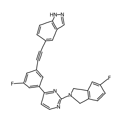 Fc1cc(C#Cc2ccc3[nH]ncc3c2)cc(-c2ccnc(N3Cc4ccc(F)cc4C3)n2)c1